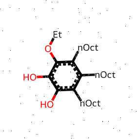 CCCCCCCCc1c(O)c(O)c(OCC)c(CCCCCCCC)c1CCCCCCCC